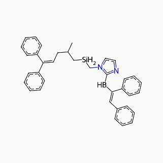 CC(CC=C(c1ccccc1)c1ccccc1)C[SiH2]Cn1ccnc1BC(=Cc1ccccc1)c1ccccc1